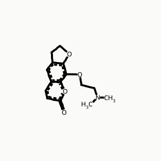 CN(C)CCOc1c2c(cc3ccc(=O)oc13)CCO2